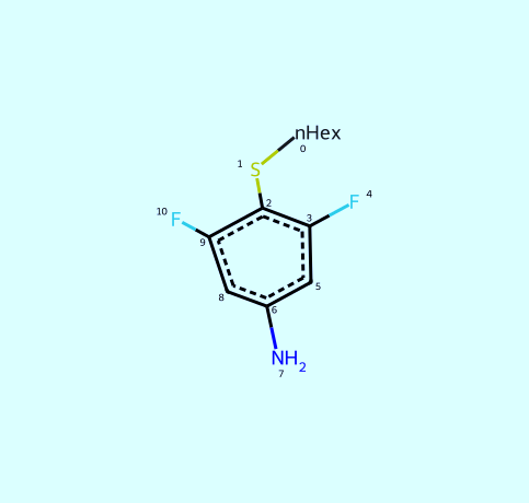 CCCCCCSc1c(F)cc(N)cc1F